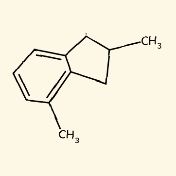 Cc1cccc2c1CC(C)[CH]2